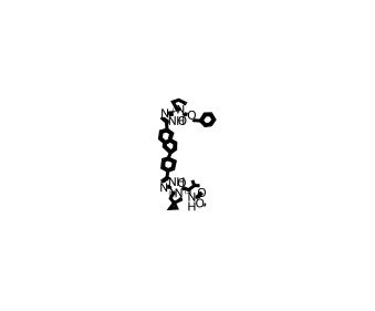 COC(=O)N[C@H](C(=O)N1CC2(CC2)C[C@H]1c1ncc(-c2ccc(-c3ccc4cc(-c5cnc([C@@H]6CCCN6C(=O)OCc6ccccc6)[nH]5)ccc4c3)cc2)[nH]1)C(C)C